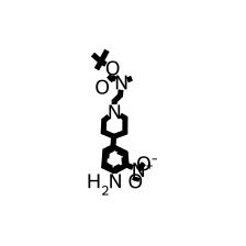 CN(CCN1CCC(c2ccc(N)c([N+](=O)[O-])c2)CC1)C(=O)OC(C)(C)C